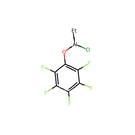 C[CH2][Al]([Cl])[O]c1c(F)c(F)c(F)c(F)c1F